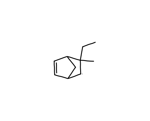 CCC1(C)[CH]C2C=CC1C2